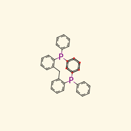 c1ccc(P(c2ccccc2)c2ccccc2Cc2ccccc2P(c2ccccc2)c2ccccc2)cc1